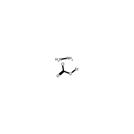 CCOC(=O)Cl.NN